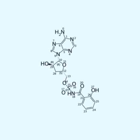 Nc1ncnc2c1ncn2[C@@H]1O[C@H](COS(=O)(=O)NC(=O)c2ccccc2O)C[C@H]1O